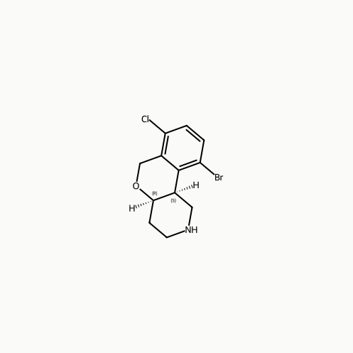 Clc1ccc(Br)c2c1CO[C@@H]1CCNC[C@H]21